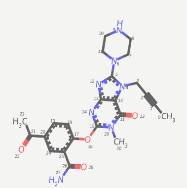 CC#CCn1c(N2CCNCC2)nc2nc(Oc3ccc(C(C)=O)cc3C(N)=O)n(C)c(=O)c21